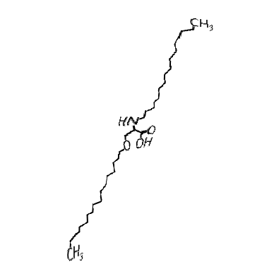 CCCCCCCCCCCCCCCCNC(COCCCCCCCCCCCCCCCC)C(=O)O